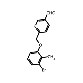 Cc1c(Br)cccc1OCc1ccc(C=O)cn1